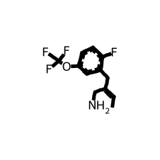 C/C=C(\CN)Cc1cc(OC(F)(F)F)ccc1F